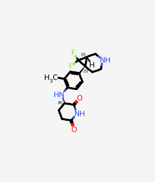 Cc1cc([C@]23CCNC[C@H]2C3(F)F)ccc1N[C@@H]1CCC(=O)NC1=O